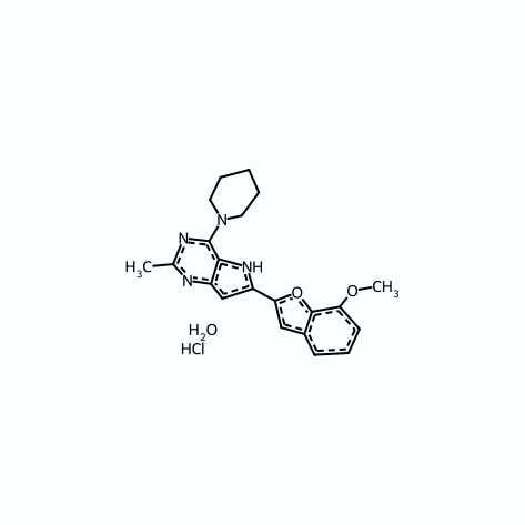 COc1cccc2cc(-c3cc4nc(C)nc(N5CCCCC5)c4[nH]3)oc12.Cl.O